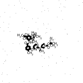 COc1c(NC(=O)c2ccc(C)c(Oc3ccnc(N(C)C4CCN(C(=O)OC(C)(C)C)C4)n3)c2)cc(C(C)(C)C)cc1NS(C)(=O)=O